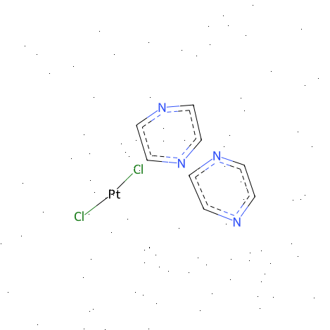 [Cl][Pt][Cl].c1cnccn1.c1cnccn1